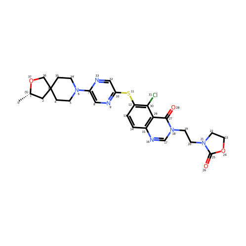 C[C@H]1CC2(CCN(c3cnc(Sc4ccc5ncn(CCN6CCOC6=O)c(=O)c5c4Cl)cn3)CC2)CO1